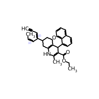 C#C/C=C(\C=C/C)C1CC(=O)C2=C(C1)NC(C)=C(C(=O)OCC)C2c1cccc2ccccc12